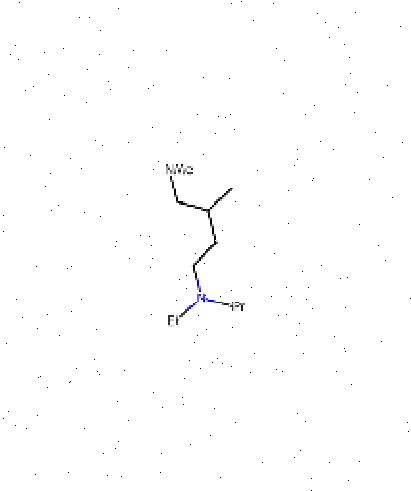 CCN(CCC(C)CNC)C(C)C